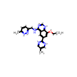 Cc1cnc(-c2cc(OCC(=O)O)c3ncnc(NCc4ccc(C)nn4)c3c2)nc1